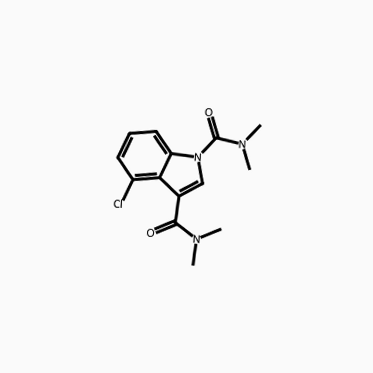 CN(C)C(=O)c1cn(C(=O)N(C)C)c2cccc(Cl)c12